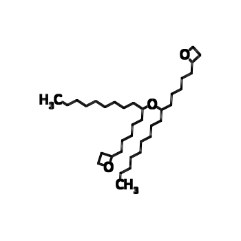 CCCCCCCCCC(CCCCCC1CCO1)OC(CCCCCCCCC)CCCCCC1CCO1